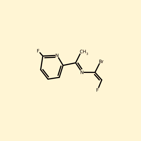 C/C(=N\C(Br)=C/F)c1cccc(F)n1